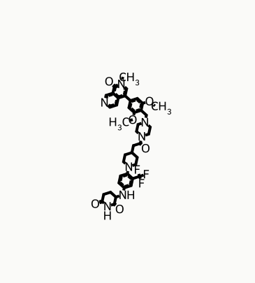 COc1cc(-c2cn(C)c(=O)c3cnccc23)cc(OC)c1CN1CCN(C(=O)CC2CCN(c3ccc(NC4CCC(=O)NC4=O)cc3C(F)(F)F)CC2)CC1